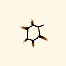 S=C1C(=S)C(=S)C(I)C(=S)C1=S